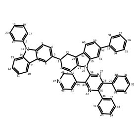 C1=CC(c2ccc3c(c2)c2ccccc2n3-c2ccccc2)Cc2c1n(-c1nc(-c3ccccc3)c(-c3ccccc3)nc1C1=CC=NCC1)c1cc(-c3ccccc3)ccc21